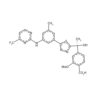 COc1cc([C@](C)(O)c2ncc(-c3cc(C)cc(Nc4nccc(C(F)(F)F)n4)c3)s2)ccc1C(=O)O